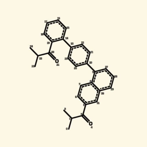 CC(C)C(=O)c1ccc2c(-c3ccc(-c4ccccc4C(=O)C(C)C)cc3)cccc2c1